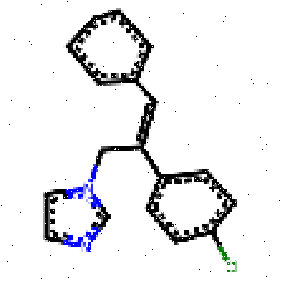 Clc1ccc(C(=Cc2ccccc2)Cn2ccnc2)cc1